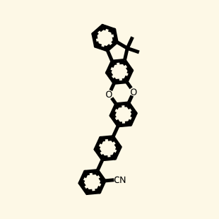 CC1(C)c2ccccc2-c2cc3c(cc21)Oc1ccc(-c2ccc(-c4ccccc4C#N)cc2)cc1O3